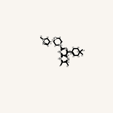 Cc1nc2nc(N3CCO[C@@H](C4C=NN(C)C4)C3)nc(C3=CCC(C)(C)CC3)c2nc1C